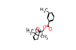 Cc1cccc(C(=O)OCC(=O)[C@@]2(C)CC=CC2(C)C)c1